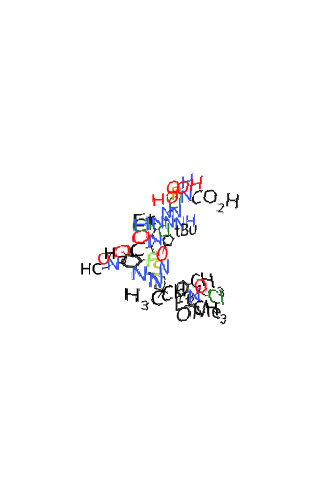 C#CCN1C(=O)COc2cc(F)c(/N=c3\snc4n3CC(C)(C)C4)cc21.CC1COc2ccccc2N1C(=O)C(Cl)Cl.CCNc1nc(Cl)nc(NC(C)(C)C)n1.CCc1cccc(C)c1N(C(=O)CCl)C(C)COC.O=C(O)CNCP(=O)(O)O